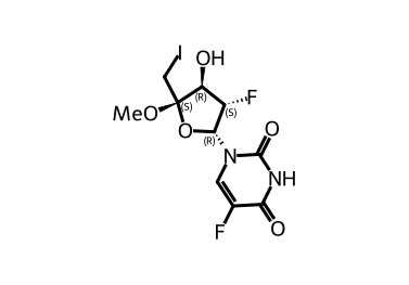 CO[C@]1(CI)O[C@@H](n2cc(F)c(=O)[nH]c2=O)[C@@H](F)[C@@H]1O